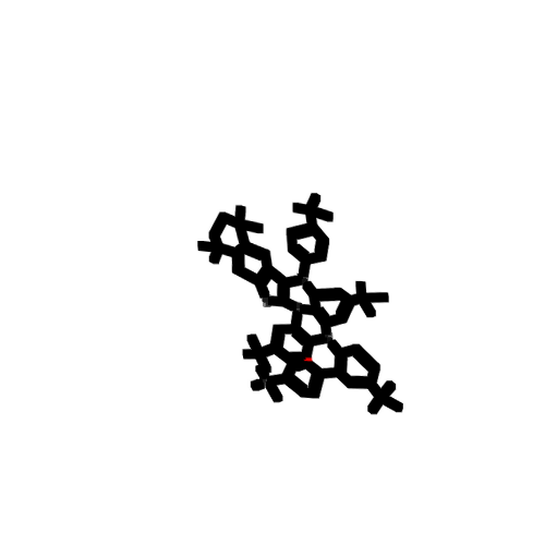 CC(C)(C)c1ccc(N2c3cc(C(C)(C)C)cc4c3B(c3cc(C(C)(C)C)ccc3N4c3ccc(C(C)(C)C)cc3-c3ccc([Si](C)(C)C)cc3)c3sc4cc5c(cc4c32)C(C)(C)CCC5(C)C)cc1